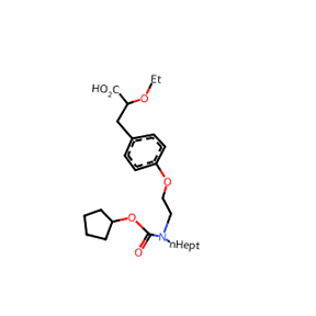 CCCCCCCN(CCOc1ccc(CC(OCC)C(=O)O)cc1)C(=O)OC1CCCC1